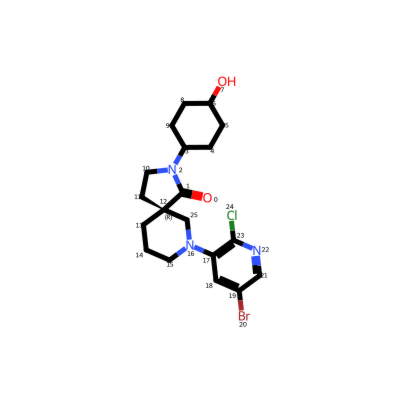 O=C1N(C2CCC(O)CC2)CC[C@@]12CCCN(c1cc(Br)cnc1Cl)C2